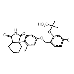 CC(C)(Oc1cc(Cl)ccc1COc1ccc(C23CCCCC2C(=O)NC3=O)c(F)c1)C(=O)O